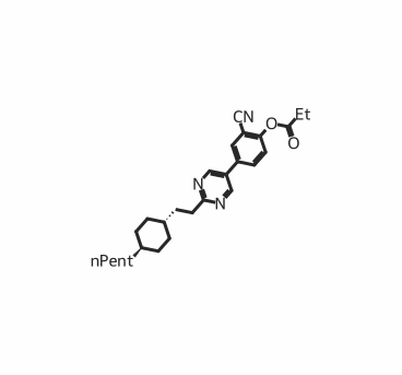 CCCCC[C@H]1CC[C@H](CCc2ncc(-c3ccc(OC(=O)CC)c(C#N)c3)cn2)CC1